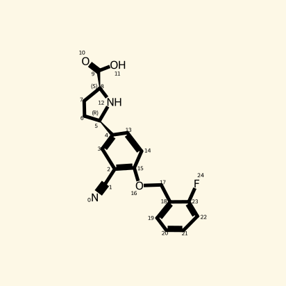 N#Cc1cc([C@H]2CC[C@@H](C(=O)O)N2)ccc1OCc1ccccc1F